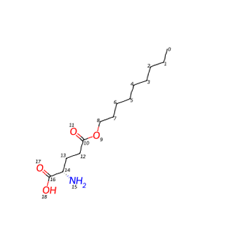 CCCCCCCCCOC(=O)CC[C@H](N)C(=O)O